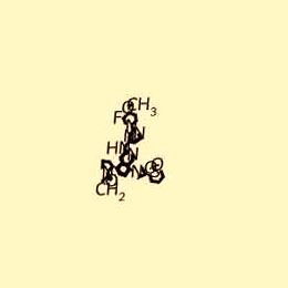 C=CC(=O)N1CCC[C@H]1c1ccc(N2CC([C@@H]3CCCCS3(=O)=O)C2)c2cnc(Nc3ccnc(N4CC[C@@H](OC)[C@@H](F)C4)n3)cc12